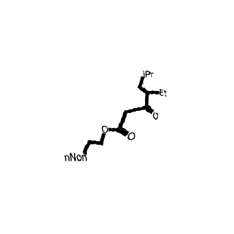 CCCCCCCCCCCOC(=O)CC(=O)C(CC)CC(C)C